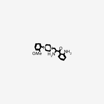 COc1ccccc1N1CCN(CC(N)C(=O)c2ccccc2N)CC1